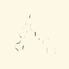 CCCCC(OC1CCCCO1)C(F)(F)C=CC1C(OC(=O)c2ccccc2)CC2OC(=O)CC21